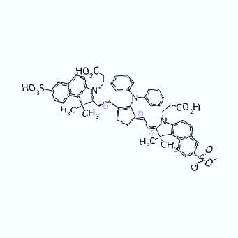 CC1(C)C(/C=C/C2=C(N(c3ccccc3)c3ccccc3)C(=C/C=C3\N(CCC(=O)O)c4ccc5cc(S(=O)(=O)[O-])ccc5c4C3(C)C)/CC2)=[N+](CCC(=O)O)c2ccc3cc(S(=O)(=O)O)ccc3c21